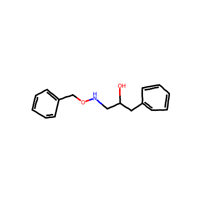 OC(CNOCc1ccccc1)Cc1ccccc1